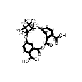 O=C(O)c1ccc2cc1C(=O)OC(=O)c1cc(ccc1C(=O)O)OC1(F)C(F)(F)C(F)(F)C1(F)O2